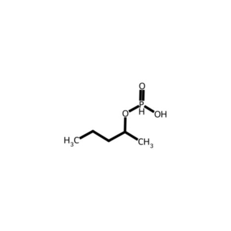 CCCC(C)O[PH](=O)O